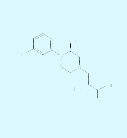 CC(C)[C@H](N)CN1CCN(c2cccc(O)c2)[C@@H](C)C1